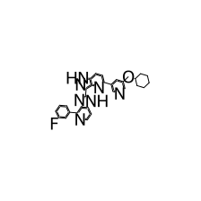 Fc1cccc(-c2nccc3[nH]c(-c4n[nH]c5ccc(-c6cncc(OC7CCCCC7)c6)nc45)nc23)c1